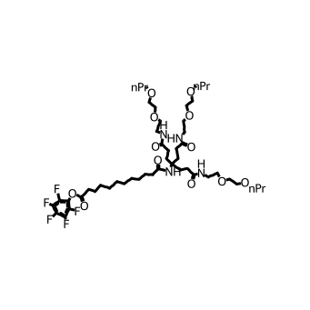 CCCOCCOCCNC(=O)CCC(CCC(=O)NCCOCCOCCC)(CCC(=O)NCCOCCOCCC)NC(=O)CCCCCCCCCCC(=O)Oc1c(F)c(F)c(F)c(F)c1F